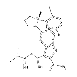 CC(C)C(=N)SC(=N)c1c(C(N)=O)nn2ccc(N3CCC[C@]3(C)c3cc(F)ccc3F)nc12